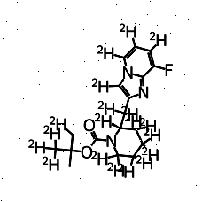 [2H]CC(C)(OC(=O)N1C([2H])([2H])C([2H])([2H])C([2H])([2H])C([2H])([2H])[C@@]1([2H])C([2H])([2H])c1nc2c(F)c([2H])c([2H])c([2H])n2c1[2H])C([2H])([2H])[2H]